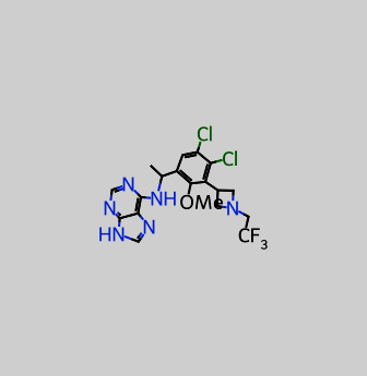 COc1c(C(C)Nc2ncnc3[nH]cnc23)cc(Cl)c(Cl)c1C1CN(CC(F)(F)F)C1